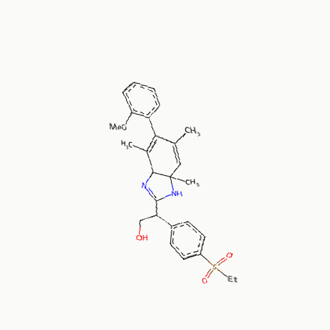 CCS(=O)(=O)c1ccc(C(CO)C2=NC3C(C)=C(c4ccccc4OC)C(C)=CC3(C)N2)cc1